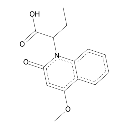 CCC(C(=O)O)n1c(=O)cc(OC)c2ccccc21